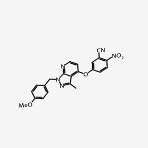 COc1ccc(Cn2nc(C)c3c(Oc4ccc([N+](=O)[O-])c(C#N)c4)ccnc32)cc1